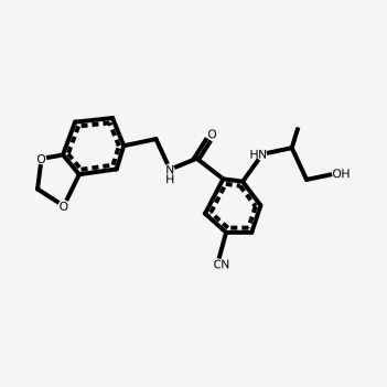 CC(CO)Nc1ccc(C#N)cc1C(=O)NCc1ccc2c(c1)OCO2